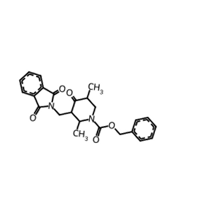 CC1CN(C(=O)OCc2ccccc2)C(C)C(CN2C(=O)c3ccccc3C2=O)C1=O